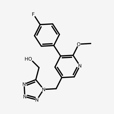 COc1ncc(Cn2nnnc2CO)cc1-c1ccc(F)cc1